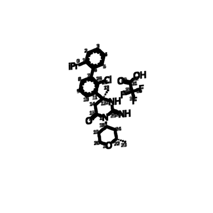 CC(C)c1ccccc1-c1cccc([C@]2(C)CC(=O)N([C@H]3CCO[C@@H](C)C3)C(=N)N2)c1Cl.O=C(O)C(F)(F)F